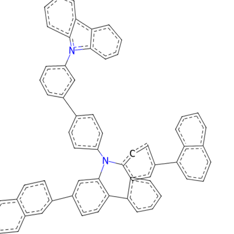 c1ccc(-c2ccc(-c3ccc4ccccc4c3)cc2N(c2ccc(-c3cccc(-n4c5ccccc5c5ccccc54)c3)cc2)c2ccc(-c3cccc4ccccc34)cc2)cc1